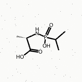 CC(C)P(=O)(O)N[C@@H](C)C(=O)O